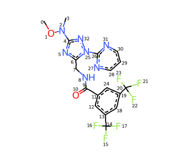 CON(C)c1nc(CNC(=O)c2cc(C(F)(F)F)cc(C(F)(F)F)c2)n(-c2ncccn2)n1